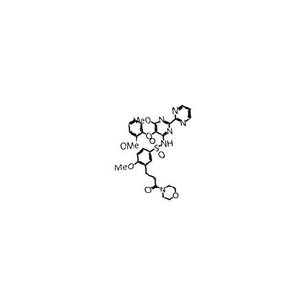 COc1ccc(S(=O)(=O)Nc2nc(-c3ncccn3)nc(OC)c2Oc2ccccc2OC)cc1CCC(=O)N1CCOCC1